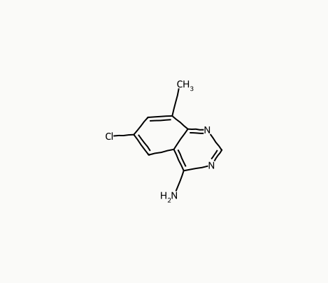 Cc1cc(Cl)cc2c(N)ncnc12